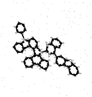 c1ccc(-n2c3ccccc3c3c4c5c6ccccc6c6ccccc6c5n(-c5nc(-c6ccc7c(c6)oc6ccccc67)c6ccccc6n5)c4ccc32)cc1